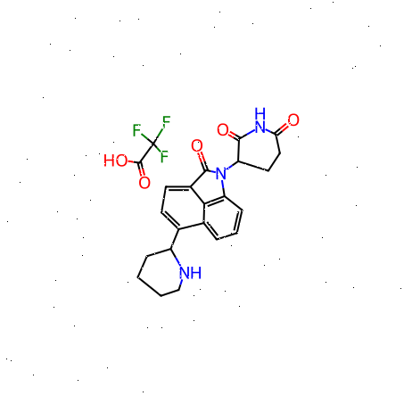 O=C(O)C(F)(F)F.O=C1CCC(N2C(=O)c3ccc(C4CCCCN4)c4cccc2c34)C(=O)N1